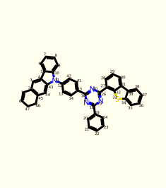 C1=Cc2cc3c4ccccc4n(-c4ccc(-c5nc(-c6ccccc6)nc(-c6cccc7c6sc6ccccc67)n5)cc4)c3cc2CC1